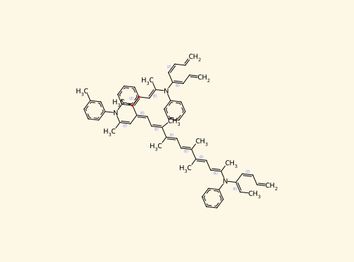 C=C/C=C\C(=C/C)N(/C(C)=C/C=C(C)/C(C)=C/C=C(C)/C(C)=C/C=C(\C=C(\C)N(c1ccccc1)c1cccc(C)c1)C(/C)=C\C=C(/C)N(C(/C=C\C=C)=C/C=C)c1ccccc1)c1ccccc1